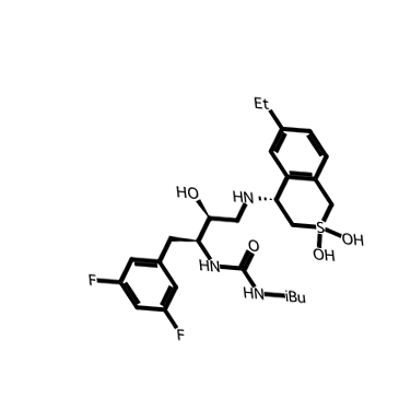 CCc1ccc2c(c1)[C@@H](NC[C@H](O)[C@H](Cc1cc(F)cc(F)c1)NC(=O)NC(C)CC)CS(O)(O)C2